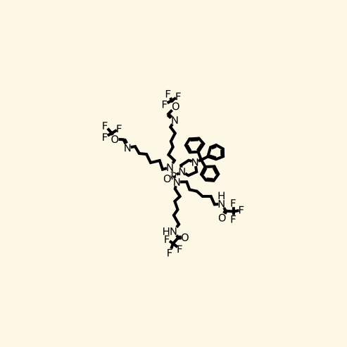 O=C(NCCCCCCN(CCCCCCNC(=O)C(F)(F)F)P(=O)(N(CCCCCCN=COC(F)(F)F)CCCCCCN=COC(F)(F)F)N1CCN(C(c2ccccc2)(c2ccccc2)c2ccccc2)CC1)C(F)(F)F